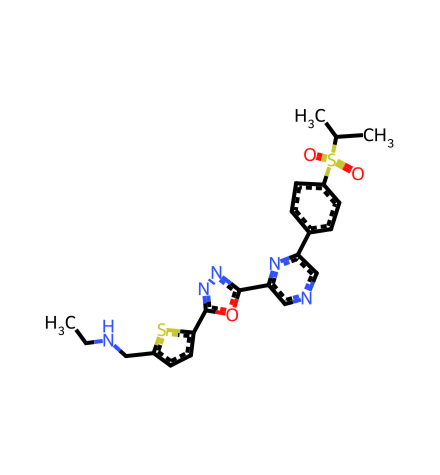 CCNCc1ccc(-c2nnc(-c3cncc(-c4ccc(S(=O)(=O)C(C)C)cc4)n3)o2)s1